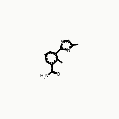 Cc1csc(-c2cccc(C(N)=O)c2C)n1